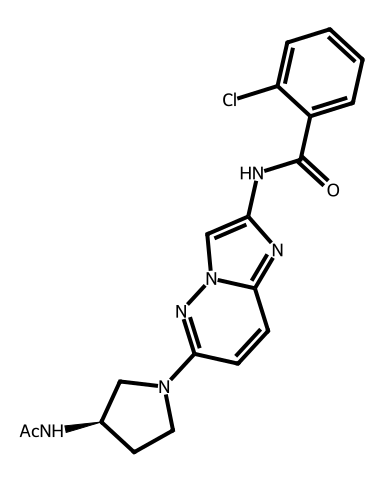 CC(=O)N[C@@H]1CCN(c2ccc3nc(NC(=O)c4ccccc4Cl)cn3n2)C1